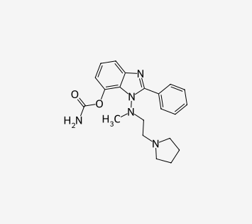 CN(CCN1CCCC1)n1c(-c2ccccc2)nc2cccc(OC(N)=O)c21